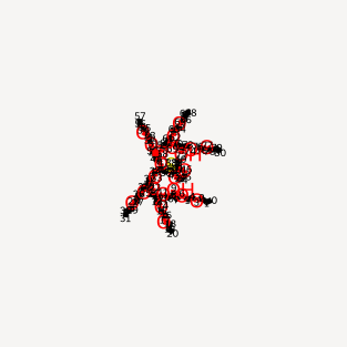 CCCOCCOCC(O)COC(COCCOCCC)COC(COCCOCCC)COCC(Cc1sc(C)c2c1OCCO2)OCC(COCCOCCC)OCC(COCCOCCC)OCC(O)COCCOCCC